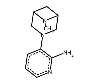 CN1C2CC1CN(c1cccnc1N)C2